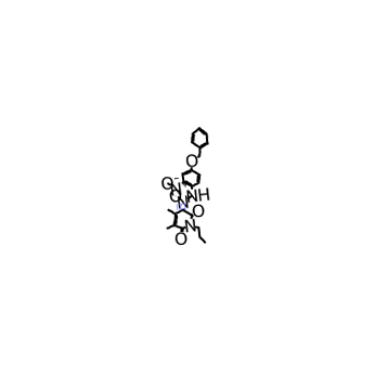 CCCN1C(=O)C(C)=C(C)/C(=N/Nc2ccc(OCc3ccccc3)cc2[N+](=O)[O-])C1=O